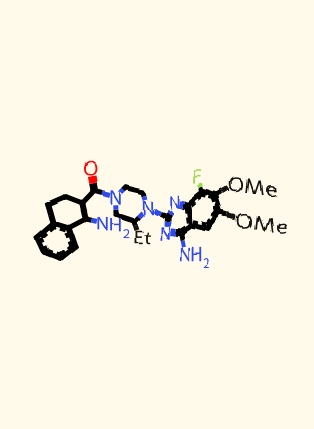 CCC1CN(C(=O)C2CCc3ccccc3C2N)CCN1c1nc(N)c2cc(OC)c(OC)c(F)c2n1